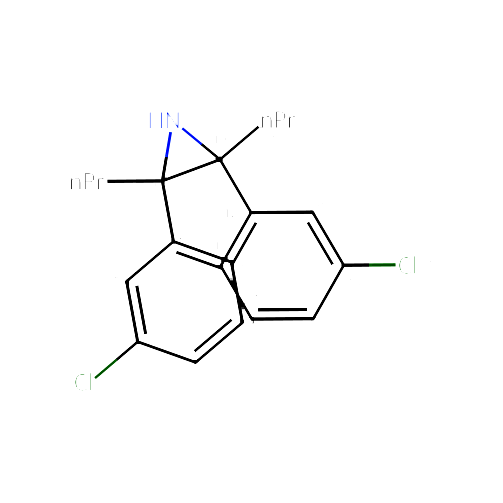 CCCC1(c2cccc(Cl)c2)NC1(CCC)c1cccc(Cl)c1